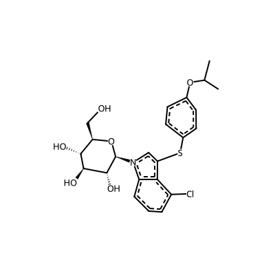 CC(C)Oc1ccc(Sc2cn([C@@H]3O[C@H](CO)[C@@H](O)[C@H](O)[C@H]3O)c3cccc(Cl)c23)cc1